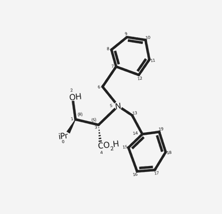 CC(C)[C@@H](O)[C@@H](C(=O)O)N(Cc1ccccc1)Cc1ccccc1